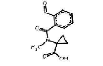 CN(C(=O)c1ccccc1C=O)C1(C(=O)O)CC1